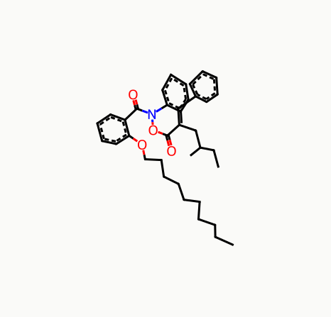 CCCCCCCCCCOc1ccccc1C(=O)N(OC(=O)C(=Cc1ccccc1)CC(C)CC)c1ccccc1